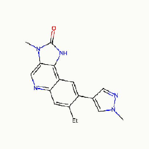 CCc1cc2ncc3c([nH]c(=O)n3C)c2cc1-c1cnn(C)c1